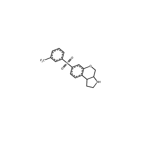 O=S(=O)(c1cccc(C(F)(F)F)c1)c1ccc2c(c1)OCC1NCCC21